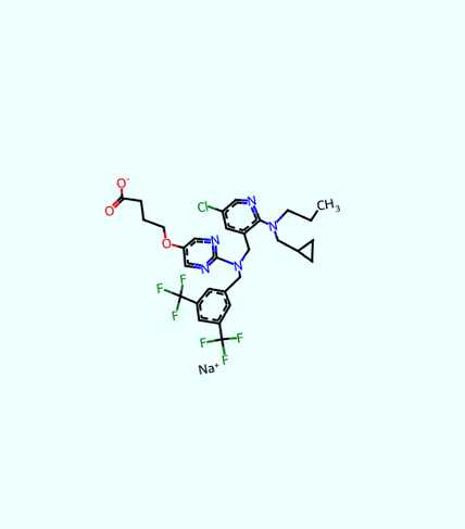 CCCN(CC1CC1)c1ncc(Cl)cc1CN(Cc1cc(C(F)(F)F)cc(C(F)(F)F)c1)c1ncc(OCCCC(=O)[O-])cn1.[Na+]